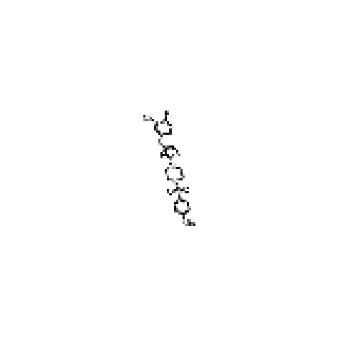 CC(C)(C)c1ccc(S(=O)(=O)N2CCN(c3nc(Cc4ccc(F)c(Cl)c4)cs3)CC2)cc1